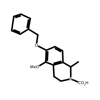 COc1c(OCc2ccccc2)ccc2c1CCN(C(=O)O)C2C